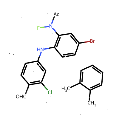 CC(=O)N(F)c1cc(Br)ccc1Nc1ccc(C=O)c(Cl)c1.Cc1ccccc1C